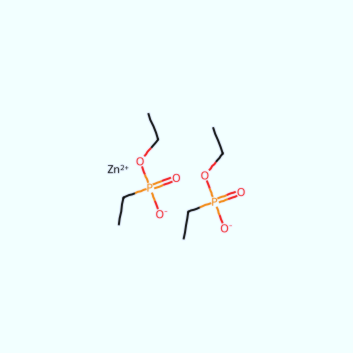 CCOP(=O)([O-])CC.CCOP(=O)([O-])CC.[Zn+2]